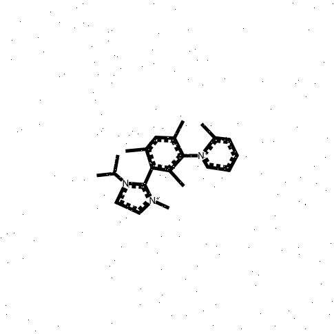 Cc1cc(C)c(-[n+]2ccccc2C)c(C)c1-c1n(C(C)C)cc[n+]1C